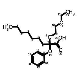 CCCCCCCC(OCCOCC)(Oc1ccccc1)C(=O)O